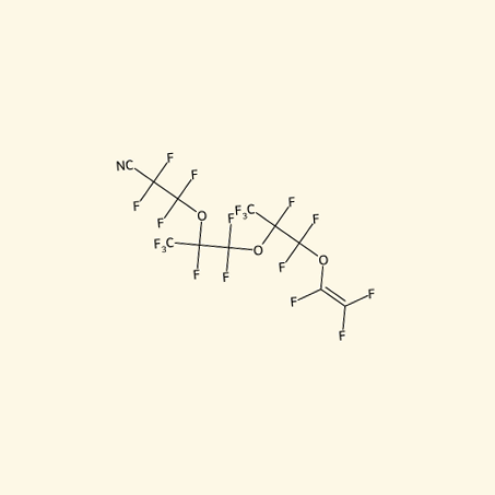 N#CC(F)(F)C(F)(F)OC(F)(C(F)(F)F)C(F)(F)OC(F)(C(F)(F)F)C(F)(F)OC(F)=C(F)F